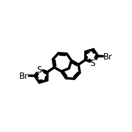 Brc1ccc(C2=CC=CC3=C(c4ccc(Br)s4)C=CC=C2C3)s1